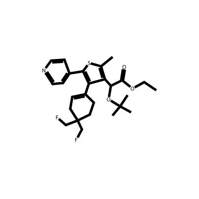 CCOC(=O)C(OC(C)(C)C)c1c(C)sc(-c2ccncc2)c1C1=CCC(CF)(CF)CC1